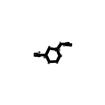 CC(C)(C)CN1CCCC(C(C)(C)C)C1